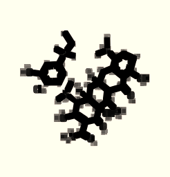 CC[N+](C)(C)c1cccc(O)c1.CN(C)c1ccc(O)c2c1C[C@H]1C[C@H]3[C@H](N(C)C)C(O)=C(C(N)=O)C(=O)[C@@]3(O)C(O)=C1C2=O.[Cl-]